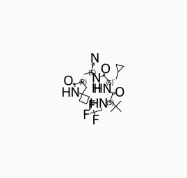 CC(C)(C)[C@H](NCC(F)(F)F)C(=O)N[C@@H](CC1CC1)C(=O)N[C@H](C#N)C[C@@H]1CC2(CCC2)NC1=O